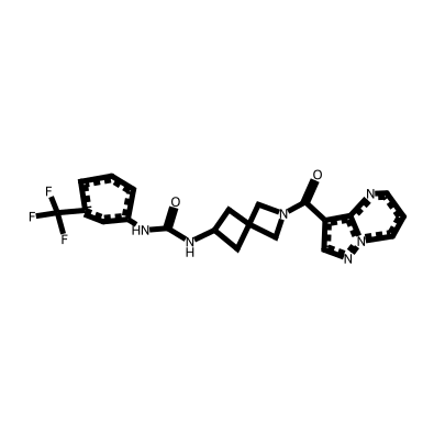 O=C(Nc1cccc(C(F)(F)F)c1)NC1CC2(C1)CN(C(=O)c1cnn3cccnc13)C2